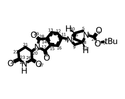 CC(C)(C)OC(=O)N1C[C@@H]2C[C@H]1CN2c1ccc2c(c1)C(=O)N(C1CCC(=O)NC1=O)C2=O